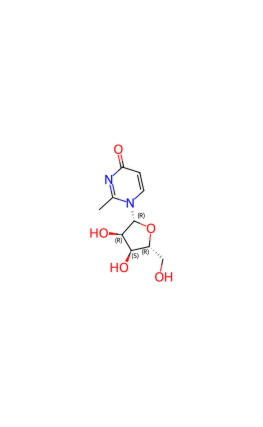 Cc1nc(=O)ccn1[C@@H]1O[C@H](CO)[C@@H](O)[C@H]1O